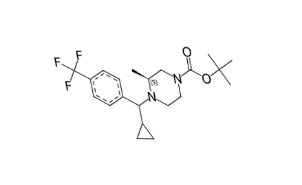 C[C@H]1CN(C(=O)OC(C)(C)C)CCN1C(c1ccc(C(F)(F)F)cc1)C1CC1